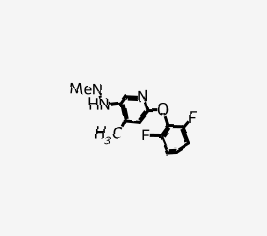 CNNc1cnc(Oc2c(F)cccc2F)cc1C